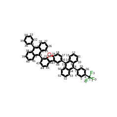 FC(F)(F)c1ccc(-c2c3ccccc3c(-c3ccc4oc5c(-c6c7ccccc7c(-c7ccccc7)c7ccccc67)cccc5c4c3)c3ccccc23)cc1